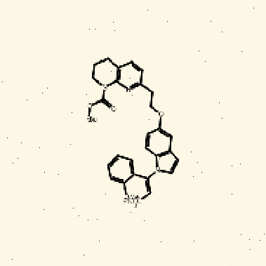 CCOC(=O)/C=C(\c1ccccc1OC)n1ccc2cc(OCCc3ccc4c(n3)N(C(=O)OC(C)(C)C)CCC4)ccc21